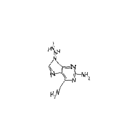 CNNn1cnc2c(N)nc(N)nc21